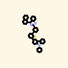 c1ccc(-n2c3ccccc3c3c4sc5c(-c6cccc(-c7nc(-c8cccc9ccccc89)c8ccccc8n7)c6)cccc5c4ccc32)cc1